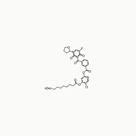 CCCCCCCCCCCCCCCCCC(=O)Oc1cc(OC(=O)c2cccc(C(=O)n3c(=O)c(F)cn(C4CCCO4)c3=O)c2)ncc1Cl